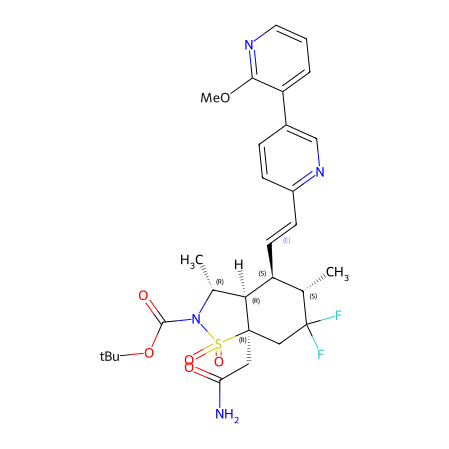 COc1ncccc1-c1ccc(/C=C/[C@@H]2[C@@H]3[C@@H](C)N(C(=O)OC(C)(C)C)S(=O)(=O)[C@]3(CC(N)=O)CC(F)(F)[C@H]2C)nc1